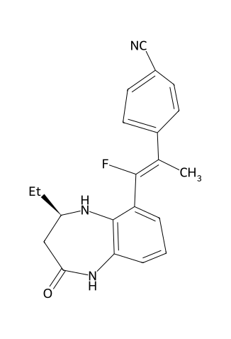 CC[C@@H]1CC(=O)Nc2cccc(/C(F)=C(\C)c3ccc(C#N)cc3)c2N1